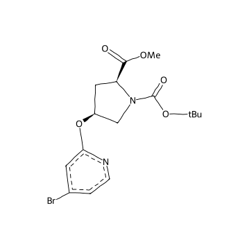 COC(=O)[C@@H]1C[C@H](Oc2cc(Br)ccn2)CN1C(=O)OC(C)(C)C